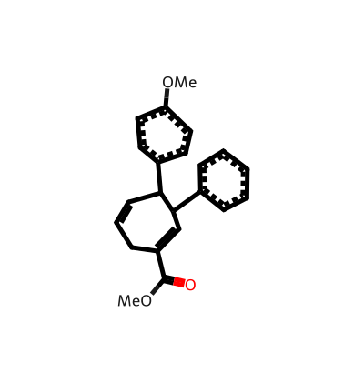 COC(=O)C1=CC(c2ccccc2)C(c2ccc(OC)cc2)C=CC1